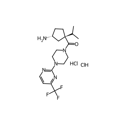 CC(C)[C@]1(C(=O)N2CCN(c3nccc(C(F)(F)F)n3)CC2)CC[C@@H](N)C1.Cl.Cl